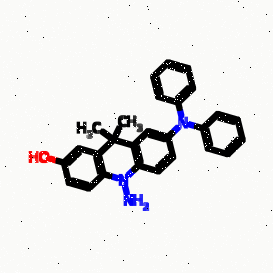 CC1(C)c2cc(O)ccc2N(N)c2ccc(N(c3ccccc3)c3ccccc3)cc21